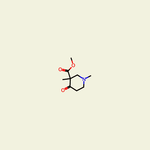 COC(=O)C1(C)CN(C)CCC1=O